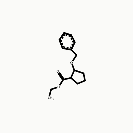 CCOC(=O)C1CCCC1OCc1ccccc1